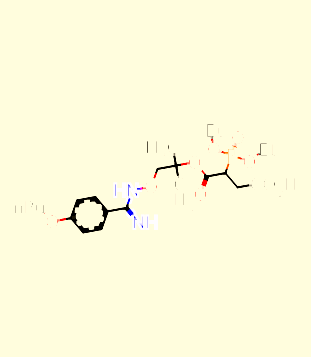 CCCCOc1ccc(C(=N)NOCC(C)(C)OC(=O)C(CC(=O)O)P(=O)(OCC)OCC)cc1